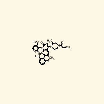 C=CC(=O)N1CCN(c2nc(=O)n(-c3c(SC)ccnc3Br)c3nc(-c4c(O)cccc4F)c(C)cc23)C(C)C1